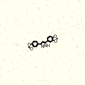 c1cc2c(cc1-c1cc(-c3ccc4c(c3)OCO4)[nH]n1)OCO2